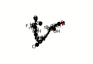 Cc1ncsc1-c1ccc([C@H](C)NC(=O)[C@@H]2C[C@@H](O)CN2C(=O)[C@@H](NC(=O)CCCCCOCC2=CN(CC3(C)CCC(c4ccc(Cl)cc4)=C(CN4CCN(c5ccc(C(=O)NS(=O)(=O)c6ccc(N[C@H](CCN7CCOCC7)CSc7ccccc7)c(S(=O)(=O)C(F)(F)F)c6)cc5)CC4)C3)NN2)C(C)(C)C)cc1